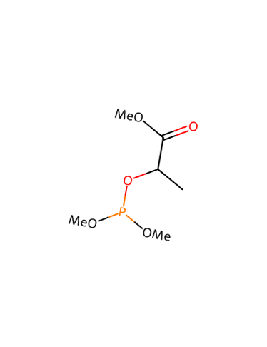 COC(=O)C(C)OP(OC)OC